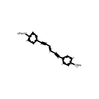 CCCCCc1ccc(C#C/C=C/C#Cc2ccc(OC)cc2)cc1